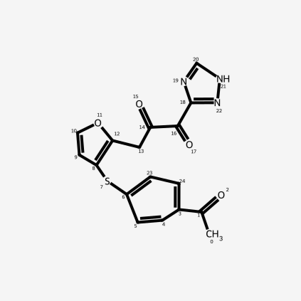 CC(=O)c1ccc(Sc2ccoc2CC(=O)C(=O)c2nc[nH]n2)cc1